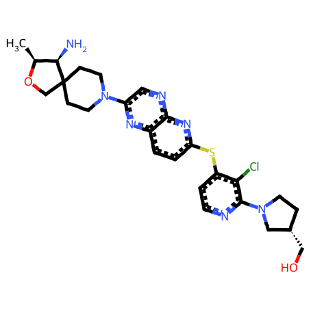 C[C@@H]1OCC2(CCN(c3cnc4nc(Sc5ccnc(N6CC[C@H](CO)C6)c5Cl)ccc4n3)CC2)[C@@H]1N